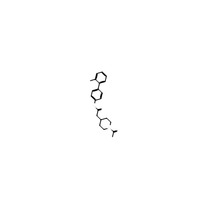 CC(=O)N1CCC(CC(=O)Nc2ccc(-c3ccccc3C)cc2)CC1